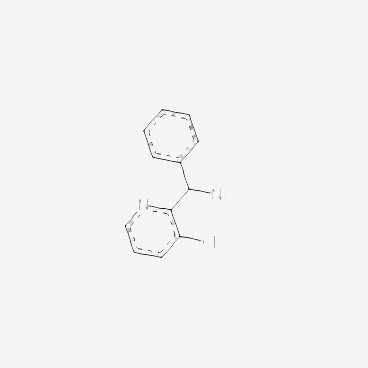 NC(c1ccccc1)c1ncccc1Cl